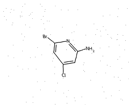 Nc1cc(Cl)cc(Br)n1